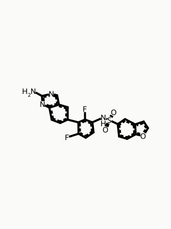 Nc1ncc2cc(-c3c(F)ccc(NS(=O)(=O)c4ccc5occc5c4)c3F)ccc2n1